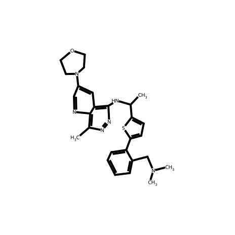 Cc1nnc(NC(C)c2ccc(-c3ccccc3CN(C)C)s2)c2cc(N3CCOCC3)cnc12